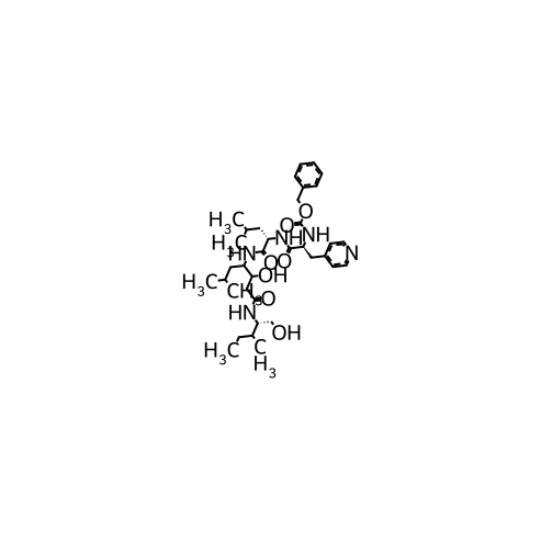 CCC(C)[C@@H](CO)NC(=O)CC(O)C(CC(C)C)NC(=O)[C@H](CC(C)C)NC(=O)[C@H](Cc1ccncc1)NC(=O)OCc1ccccc1